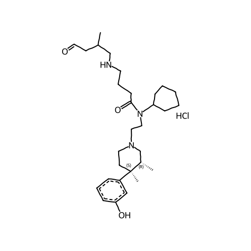 CC(CC=O)CNCCCC(=O)N(CCN1CC[C@](C)(c2cccc(O)c2)[C@@H](C)C1)C1CCCCC1.Cl